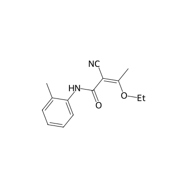 CCO/C(C)=C(/C#N)C(=O)Nc1ccccc1C